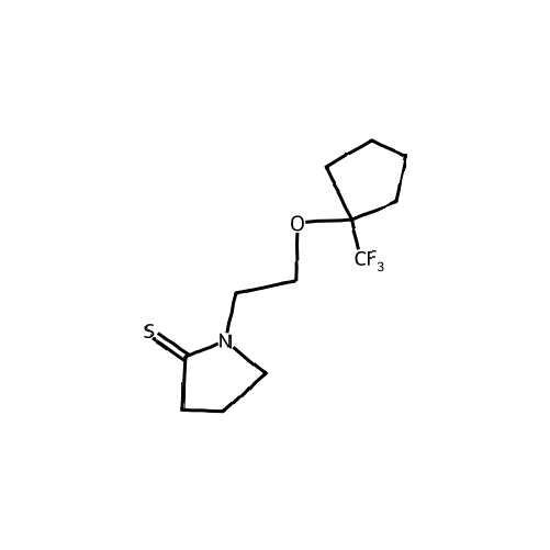 FC(F)(F)C1(OCCN2CCCC2=S)CCCC1